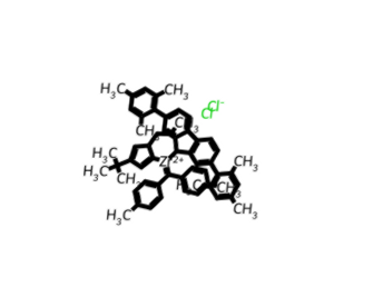 CCCC1C=C(C(C)(C)C)C=[C]1[Zr+2](=[C](c1ccc(C)cc1)c1ccc(C)cc1)[CH]1c2cc(-c3c(C)cc(C)cc3C)ccc2-c2ccc(-c3c(C)cc(C)cc3C)cc21.[Cl-].[Cl-]